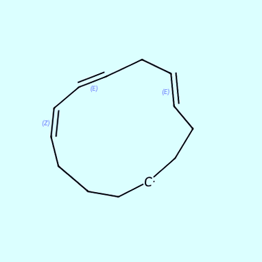 [CH]1CC/C=C/C/C=C/C=C\CCC1